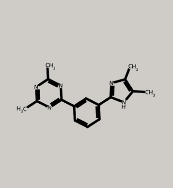 Cc1nc(C)nc(-c2cccc(-c3nc(C)c(C)[nH]3)c2)n1